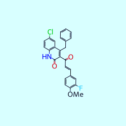 COc1ccc(/C=C/C(=O)c2c(Cc3ccccc3)c3cc(Cl)ccc3[nH]c2=O)cc1F